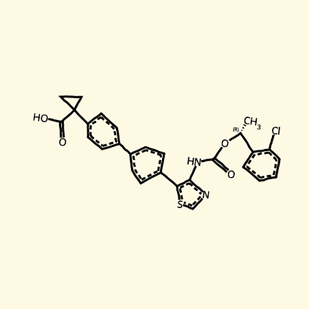 C[C@@H](OC(=O)Nc1ncsc1-c1ccc(-c2ccc(C3(C(=O)O)CC3)cc2)cc1)c1ccccc1Cl